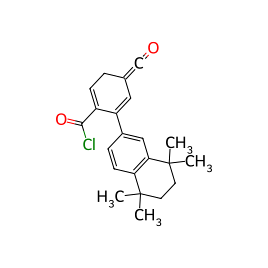 CC1(C)CCC(C)(C)c2cc(C3=CC(=C=O)CC=C3C(=O)Cl)ccc21